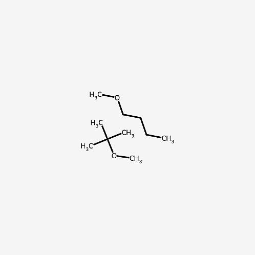 CCCCOC.COC(C)(C)C